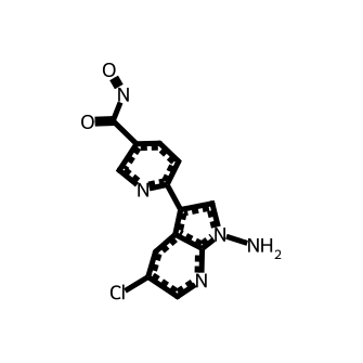 Nn1cc(-c2ccc(C(=O)N=O)cn2)c2cc(Cl)cnc21